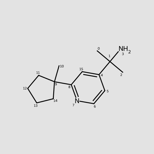 CC(C)(N)c1ccnc(C2(C)CCCC2)c1